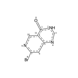 O=c1[nH]cnc2cc(Br)ncc12